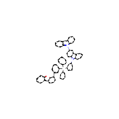 c1ccc([Si](c2ccccc2)(c2cccc(-c3cccc4c3oc3ccccc34)c2)c2cccc(-n3c4ccccc4c4cc(-n5c6ccccc6c6ccccc65)ccc43)c2)cc1